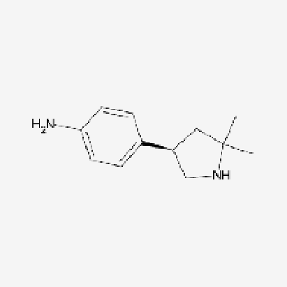 CC1(C)C[C@H](c2ccc(N)cc2)CN1